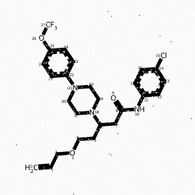 C=CCOCCC(CC(=O)Nc1ccc(Cl)cc1)N1CCN(c2ccc(OC(F)(F)F)cc2)CC1